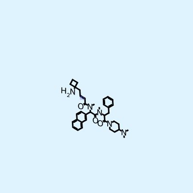 CN(C)C1CCN(C(=O)C(Cc2ccccc2)N(C)C(=O)C(c2ccc3ccccc3c2)N(C)C(=O)/C=C/CC2(N)CCC2)CC1